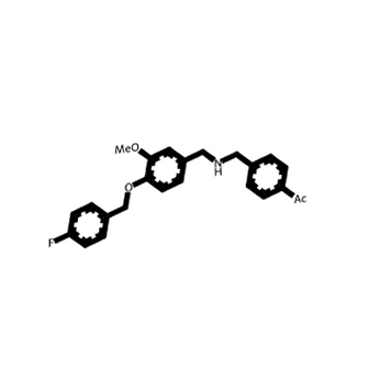 COc1cc(CNCc2ccc(C(C)=O)cc2)ccc1OCc1ccc(F)cc1